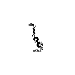 CCCCCCCCOc1ccc(-c2ccc(OCCCCOCCCC)cn2)nn1